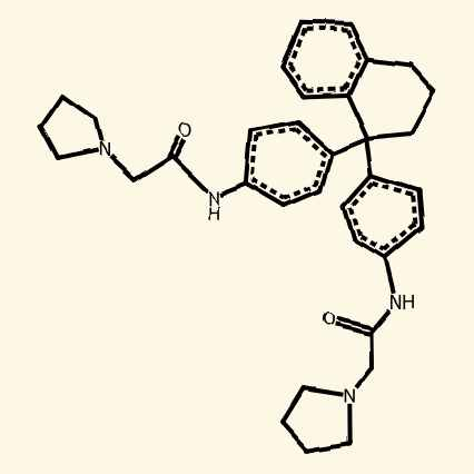 O=C(CN1CCCC1)Nc1ccc(C2(c3ccc(NC(=O)CN4CCCC4)cc3)CCCc3ccccc32)cc1